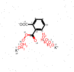 O.O.O.O.O.O.O=C([O-])c1ccccc1C(=O)O[O-].[K+].[K+]